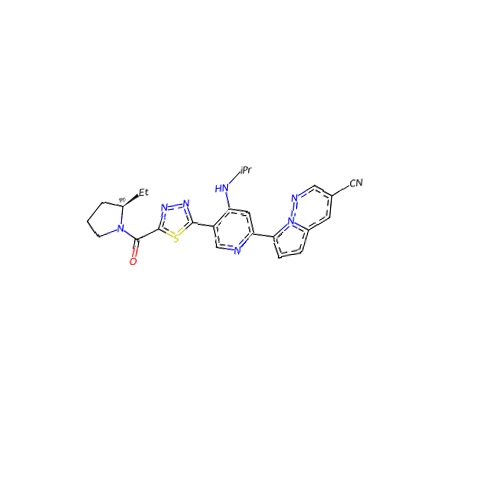 CC[C@@H]1CCCN1C(=O)c1nnc(-c2cnc(-c3ccc4cc(C#N)cnn34)cc2NC(C)C)s1